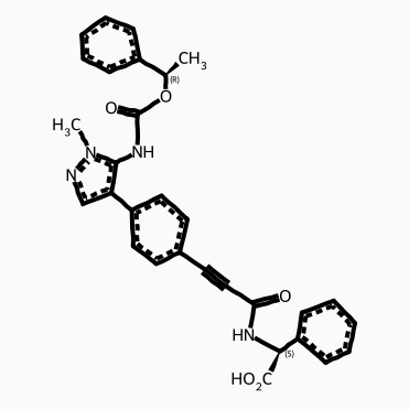 C[C@@H](OC(=O)Nc1c(-c2ccc(C#CC(=O)N[C@H](C(=O)O)c3ccccc3)cc2)cnn1C)c1ccccc1